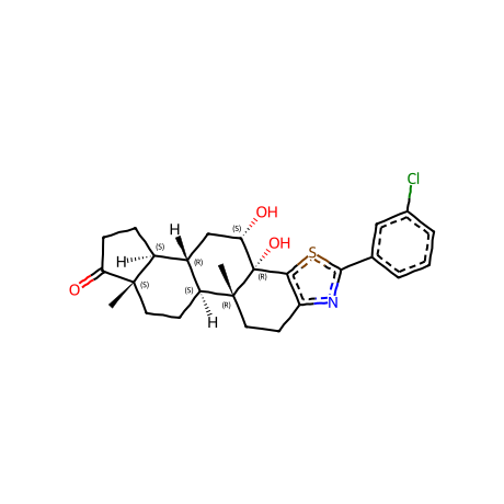 C[C@]12CC[C@H]3[C@@H](C[C@H](O)[C@@]4(O)c5sc(-c6cccc(Cl)c6)nc5CC[C@]34C)[C@@H]1CCC2=O